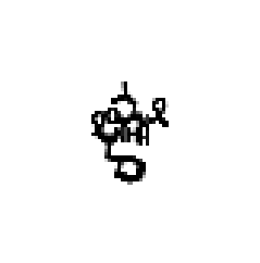 CC(=O)N[C@@H](CC(C)C)C(=O)N[C@H]([C]=O)Cc1ccccc1